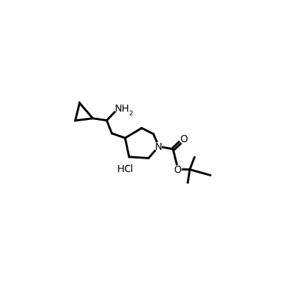 CC(C)(C)OC(=O)N1CCC(CC(N)C2CC2)CC1.Cl